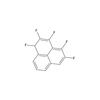 FC1=C(F)C(F)c2cccc3cc(F)c(F)c1c23